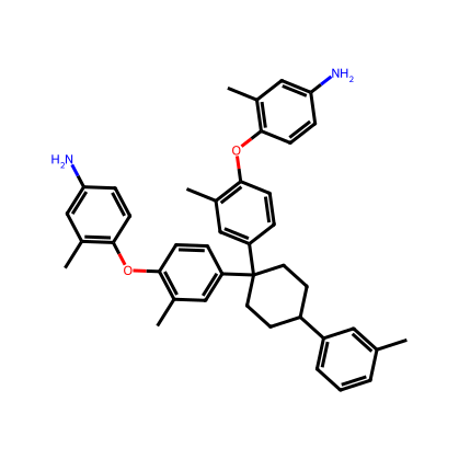 Cc1cccc(C2CCC(c3ccc(Oc4ccc(N)cc4C)c(C)c3)(c3ccc(Oc4ccc(N)cc4C)c(C)c3)CC2)c1